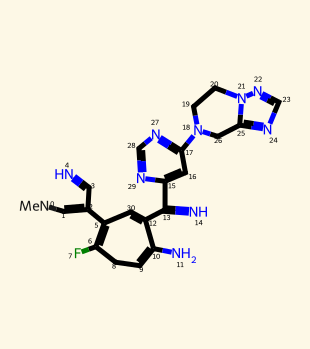 CN/C=C(\C=N)C1=C(F)CC=C(N)C(C(=N)c2cc(N3CCn4ncnc4C3)ncn2)=C1